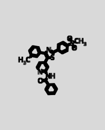 Cc1cccc(-c2nc(-c3ccc(S(C)(=O)=O)cc3)sc2-c2ccnc(NC(=O)c3ccccc3)c2)c1